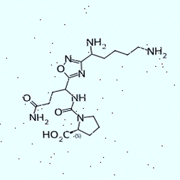 NCCCCC(N)c1noc(C(CCC(N)=O)NC(=O)N2CCC[C@H]2C(=O)O)n1